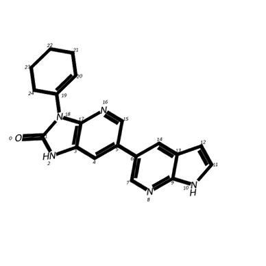 O=c1[nH]c2cc(-c3cnc4[nH]ccc4c3)cnc2n1C1=CCCCC1